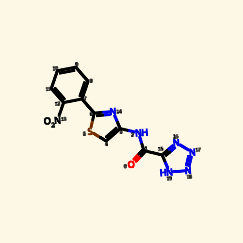 O=C(Nc1csc(-c2ccccc2[N+](=O)[O-])n1)c1nnn[nH]1